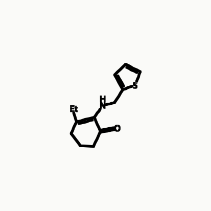 CCC1=C(NCc2cccs2)C(=O)CCC1